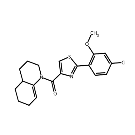 COc1cc(Cl)ccc1-c1nc(C(=O)N2CCCC3CCCC=C32)cs1